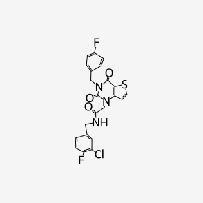 O=C(Cn1c(=O)n(Cc2ccc(F)cc2)c(=O)c2sccc21)NCc1ccc(F)c(Cl)c1